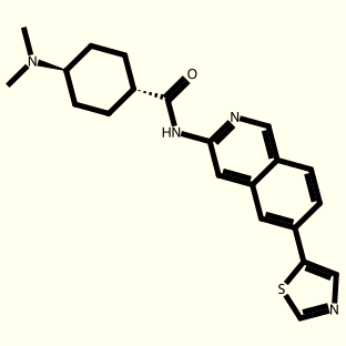 CN(C)[C@H]1CC[C@H](C(=O)Nc2cc3cc(-c4cncs4)ccc3cn2)CC1